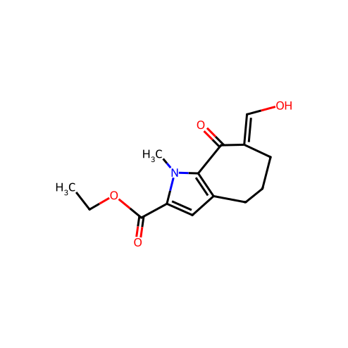 CCOC(=O)c1cc2c(n1C)C(=O)C(=CO)CCC2